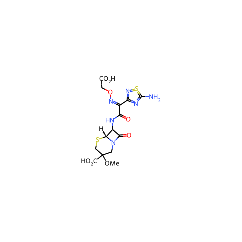 COC1(C(=O)O)CS[C@@H]2C(NC(=O)C(=NOCC(=O)O)c3nsc(N)n3)C(=O)N2C1